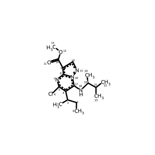 CCC(C)c1c(Cl)nc2c(C(=O)OC)cnn2c1N[C@@H](C)C(C)C